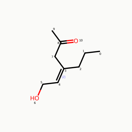 CCC/C(=C/CO)CC(C)=O